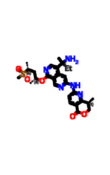 CC[C@@](C)(N)c1cnc(O[C@H](C)C[C@@H](C)S(C)(=O)=O)c2cnc(Nc3ccc4c(n3)[C@@H](C)COC4=O)cc12